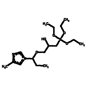 CCO[Si](CC(O)COC(CC)n1cnc(C)c1)(OCC)OCC